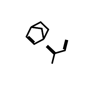 C1=CC2CCC1C2.C=CC(=C)C